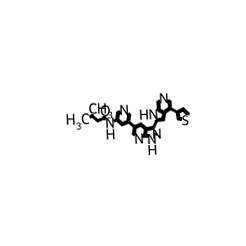 CC(C)CC(=O)Nc1cncc(-c2cnc3[nH]nc(-c4cc5c(-c6ccsc6)cncc5[nH]4)c3c2)c1